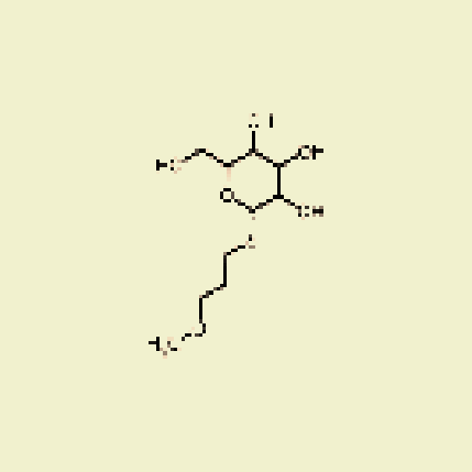 COCCCS[C@@H]1OC(CO)[C@@H](O)C(O)C1O